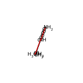 CC(C)(C)OC(=O)CCCCCCCCCCCCCCCCC(=O)NCCOCCOCCOCCOCCOCCN